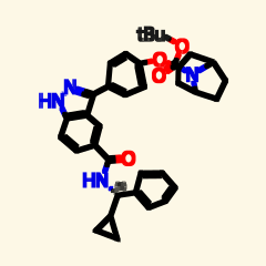 CC(C)(C)OC(=O)N1C2CCC1CC(Oc1ccc(-c3n[nH]c4ccc(C(=O)N[C@H](c5ccccc5)C5CC5)cc34)cc1)C2